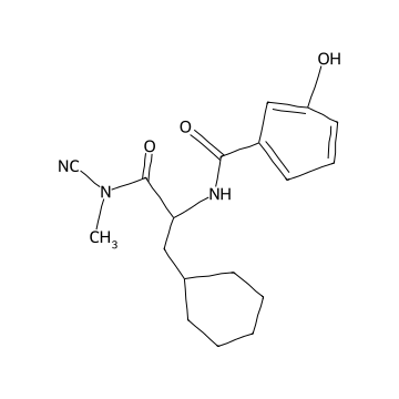 CN(C#N)C(=O)C(CC1CCCCC1)NC(=O)c1cccc(O)c1